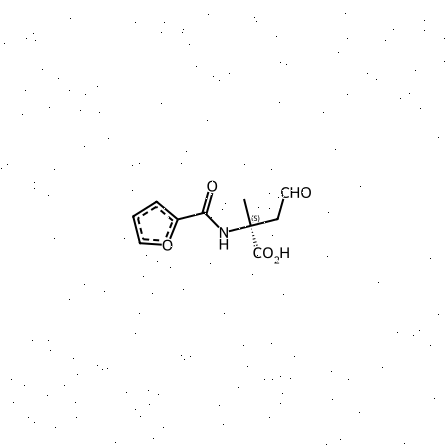 C[C@@](CC=O)(NC(=O)c1ccco1)C(=O)O